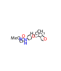 CON(C)C(=O)Nc1ccc(OCC2=C3C=COC=C3CC2(C)C)cc1